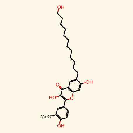 COc1cc(-c2oc3cc(O)c(CCCCCCCCCCCCO)cc3c(=O)c2O)ccc1O